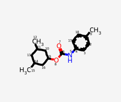 Cc1ccc(NC(=O)OC2CC(C)CC(C)C2)cc1